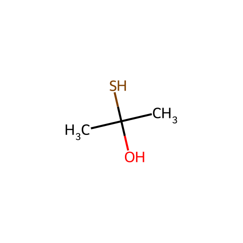 CC(C)(O)S